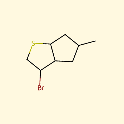 CC1CC2SCC(Br)C2C1